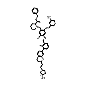 Cc1c(COc2cc(OCc3cncc(C#N)c3)c(CN3CCCCC3C(=O)OCc3ccccc3)cc2Cl)cccc1-c1ccc2c(c1)OC(CCN1CC[C@@H](O)C1)CO2